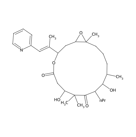 CCCC1C(=O)C(C)(C)C(O)CC(=O)OC(C(C)=Cc2ccccn2)CC2OC2(C)CCCC(C)C1O